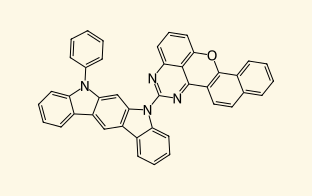 c1ccc(-n2c3ccccc3c3cc4c5ccccc5n(-c5nc6c7c(cccc7n5)Oc5c-6ccc6ccccc56)c4cc32)cc1